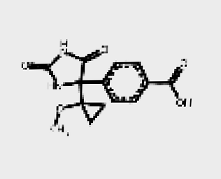 COC1(C2(c3ccc(C(=O)O)cc3)NC(=O)NC2=O)CC1